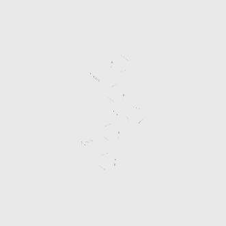 N#Cc1cc2c(cc1-c1ccccc1)c1cccc3c4cc(-c5ccccc5)c(C#N)cc4n2c13